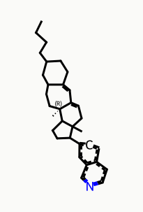 CCCCC1CCC2=CC3=CCC4(C)C(c5ccc6ccncc6c5)CCC4[C@@]3(C)CCC2C1